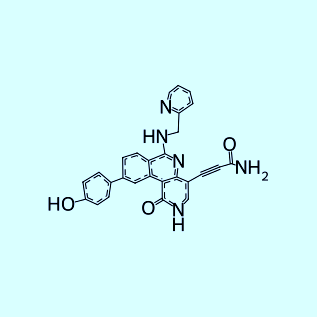 NC(=O)C#Cc1c[nH]c(=O)c2c1nc(NCc1ccccn1)c1ccc(-c3ccc(O)cc3)cc12